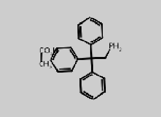 CC(=O)O.PCC(c1ccccc1)(c1ccccc1)c1ccccc1